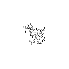 C#CC(=O)NC(C)C(C)CO[C@@H]1OC(COC(C)=O)[C@@H](O[C@@H]2OC(COC(C)=O)[C@H](OC(C)=O)C(OC(C)=O)C2OC(C)=O)C(OC(C)=O)C1NC(C)=O